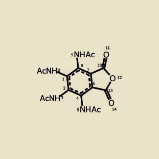 CC(=O)Nc1c(NC(C)=O)c(NC(C)=O)c2c(c1NC(C)=O)C(=O)OC2=O